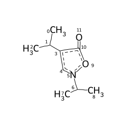 CC(C)c1cn(C(C)C)oc1=O